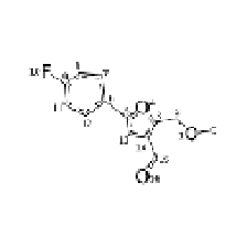 COCc1oc(-c2ccc(F)cc2)cc1C=O